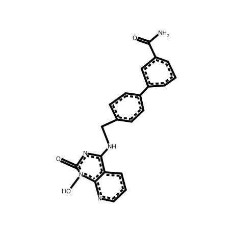 NC(=O)c1cccc(-c2ccc(CNc3nc(=O)n(O)c4ncccc34)cc2)c1